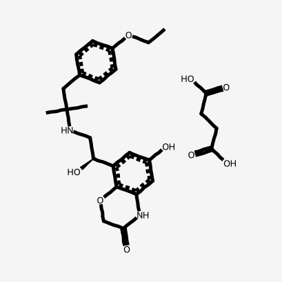 CCOc1ccc(CC(C)(C)NC[C@H](O)c2cc(O)cc3c2OCC(=O)N3)cc1.O=C(O)CCC(=O)O